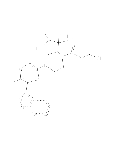 CCOC(=O)N1CCN(c2ccc(F)c(-c3n[nH]c4ncccc34)n2)CC1C(C)(O)C(C)C